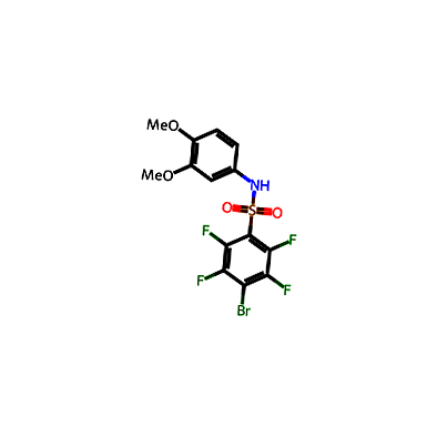 COc1ccc(NS(=O)(=O)c2c(F)c(F)c(Br)c(F)c2F)cc1OC